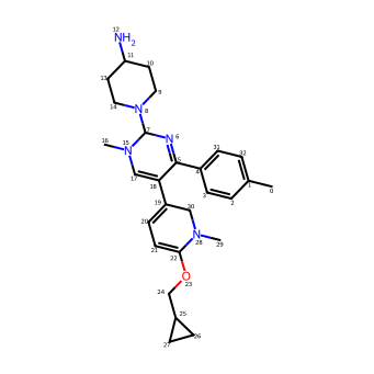 Cc1ccc(C2=NC(N3CCC(N)CC3)N(C)C=C2C2=CC=C(OCC3CC3)N(C)C2)cc1